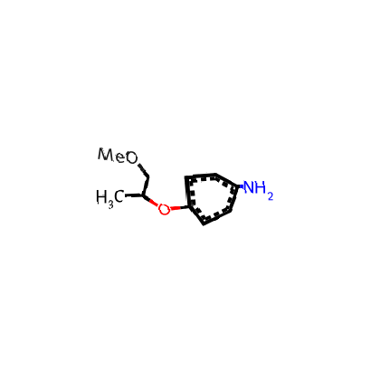 COCC(C)Oc1ccc(N)cc1